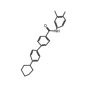 Cc1ccc(NC(=O)c2ccc(-c3ccc(C4CCCCC4)cc3)cc2)cc1C